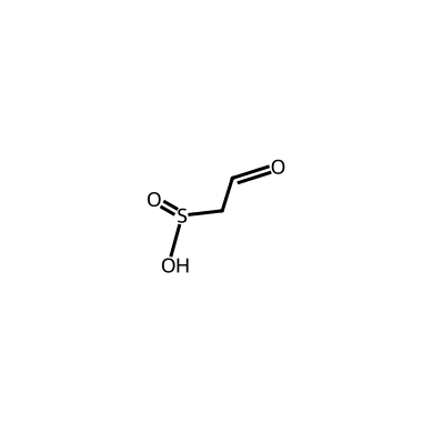 O=CCS(=O)O